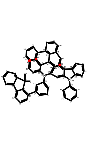 CC1(C)c2ccccc2-c2cccc(-c3cccc(N(c4ccc5c6ccccc6n(-c6ccccc6)c5c4)c4ccccc4-c4cccc5cccc(-c6ccccc6)c45)c3)c21